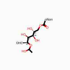 CCCCCCCCCC(=O)OC[C@@H](O)[C@@H](O)[C@H](O)[C@H](C=O)OC(C)O